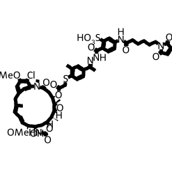 COc1cc2cc(c1Cl)N(C)C(=O)C[C@H](OC(=O)CSc1ccc(/C(C)=N/NC(=O)c3ccc(NC(=O)CCCCCN4C(=O)C=CC4=O)cc3S(=O)(=O)O)cc1C)[C@]1(C)O[C@H]1[C@H](C)[C@@H]1C[C@@](O)(NC(=O)O1)[C@H](OC)/C=C/C=C(\C)C2